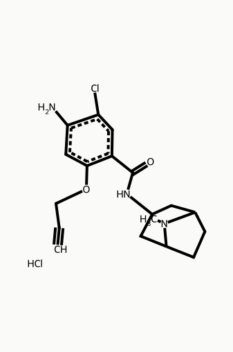 C#CCOc1cc(N)c(Cl)cc1C(=O)NC1CC2CCC(C1)N2C.Cl